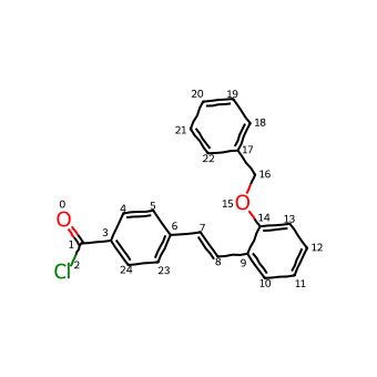 O=C(Cl)c1ccc(C=Cc2ccccc2OCc2ccccc2)cc1